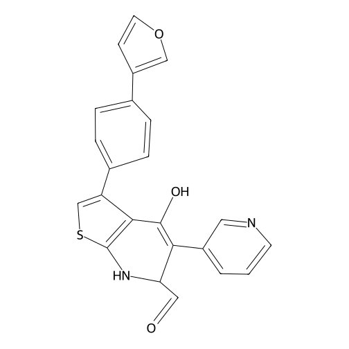 O=CC1Nc2scc(-c3ccc(-c4ccoc4)cc3)c2C(O)=C1c1cccnc1